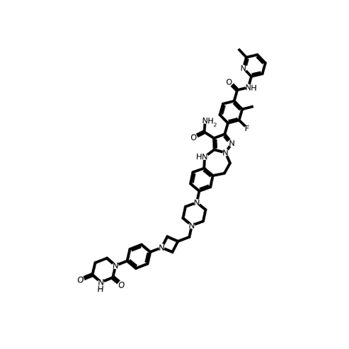 Cc1cccc(NC(=O)c2ccc(-c3nn4c(c3C(N)=O)Nc3ccc(N5CCN(CC6CN(c7ccc(N8CCC(=O)NC8=O)cc7)C6)CC5)cc3CC4)c(F)c2C)n1